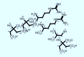 N=C(N)NCCCC(N)C(=O)O.N=C(N)NCCCC(N)C(=O)O.NC(CS)C(=O)O.O=C(O)CC(O)(CC(=O)O)C(=O)O.O=C(O)CC(O)(CC(=O)O)C(=O)O.O=C(O)CC(O)(CC(=O)O)C(=O)O